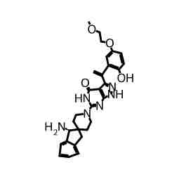 C=C(c1cc(OCCOC)ccc1O)c1n[nH]c2nc(N3CCC4(CC3)Cc3ccccc3[C@H]4N)[nH]c(=O)c12